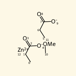 CCC(=O)[O-].CCC(=O)[O-].COC.[Zn+2]